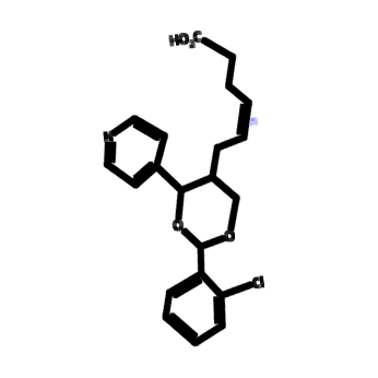 O=C(O)CC/C=C\CC1COC(c2ccccc2Cl)OC1c1ccncc1